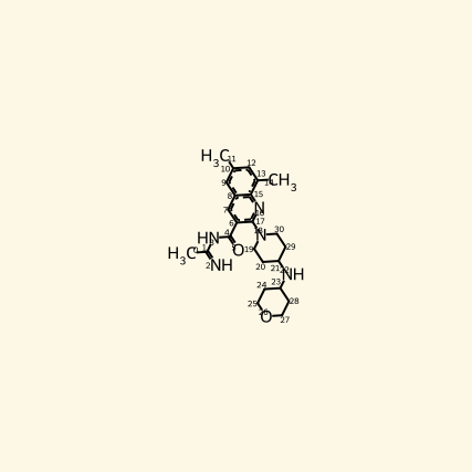 CC(=N)NC(=O)c1cc2cc(C)cc(C)c2nc1N1CCC(NC2CCOCC2)CC1